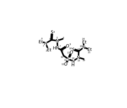 CCN(CC)C(=S)N(C)NC(=O)CS(=O)(=O)NN(C)C(=S)N(CC)CC